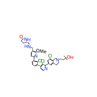 COc1nc(-c2cccc(-c3ccnc(-c4cc(Cl)c5c(c4)CCN(CCC(C)(C)O)C5)c3Cl)c2Cl)ccc1CNC[C@H]1CCC(=O)N1